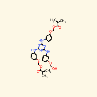 C=C(C)C(=O)OCOc1cccc(Nc2nc(Nc3cccc(OCO)c3)nc(Nc3cccc(OCOC(=O)C(=C)C)c3)n2)c1